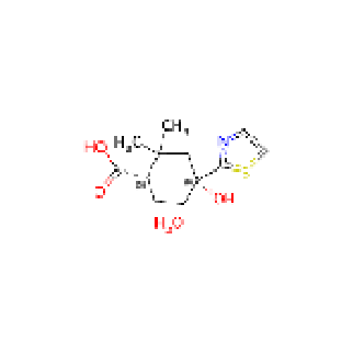 CC1(C)C[C@@](O)(c2nccs2)CC[C@@H]1C(=O)O.O